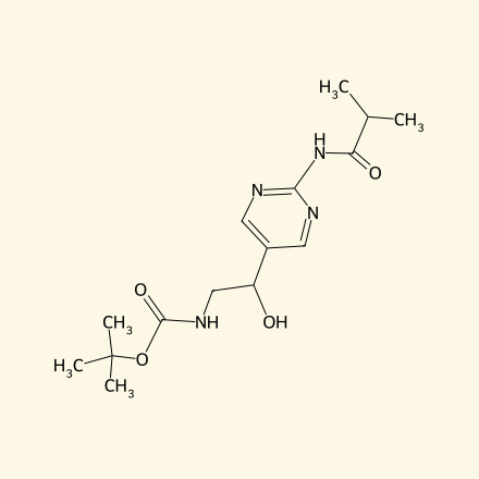 CC(C)C(=O)Nc1ncc(C(O)CNC(=O)OC(C)(C)C)cn1